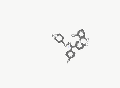 O=c1ccc(/C(=N/OC2CCNCC2)c2ccc(F)cc2)cn1-c1c(Cl)cccc1Cl